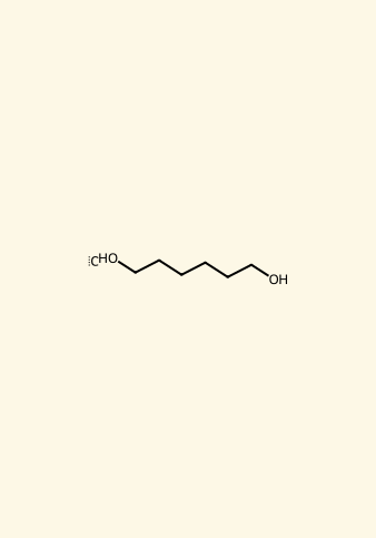 OCCCCCCO.[C]